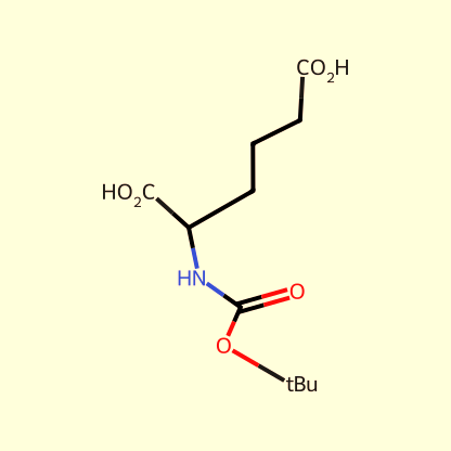 CC(C)(C)OC(=O)NC(CCCC(=O)O)C(=O)O